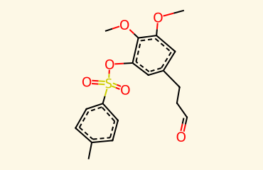 COc1cc(CCC=O)cc(OS(=O)(=O)c2ccc(C)cc2)c1OC